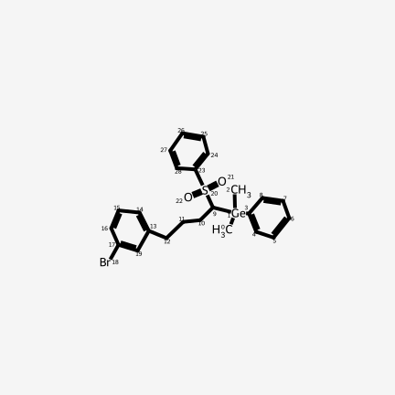 [CH3][Ge]([CH3])([c]1ccccc1)[CH](CCCc1cccc(Br)c1)S(=O)(=O)c1ccccc1